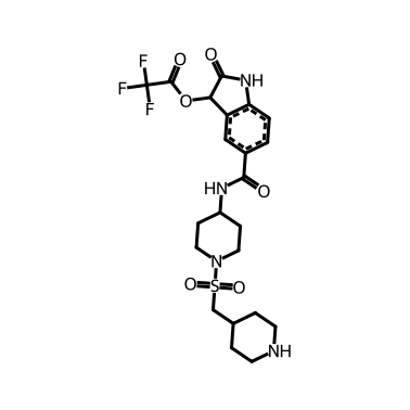 O=C(NC1CCN(S(=O)(=O)CC2CCNCC2)CC1)c1ccc2c(c1)C(OC(=O)C(F)(F)F)C(=O)N2